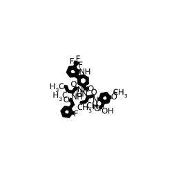 CCC(C)[C@H](NC(=O)Cc1ccccc1F)C(=O)N[C@]1(C(=O)N[C@H](C(=O)Nc2ccc(OC)cc2C(=O)O)C(C)CC)CCc2[nH]c3c(C(F)(F)F)cccc3c2C1